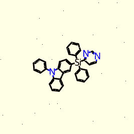 c1ccc(-n2c3ccccc3c3cc([Si](c4ccccc4)(c4ccccc4)c4ccncn4)ccc32)cc1